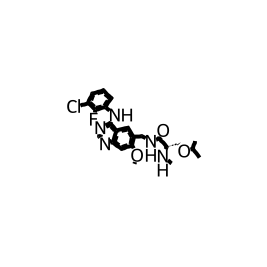 CN[C@@H](COC(C)C)C(=O)NCc1cc2c(Nc3cccc(Cl)c3F)ncnc2cc1OC